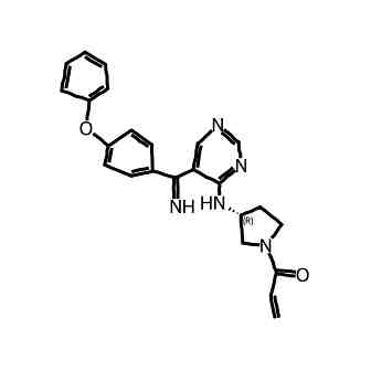 C=CC(=O)N1CC[C@@H](Nc2ncncc2C(=N)c2ccc(Oc3ccccc3)cc2)C1